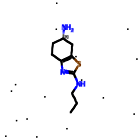 CCCNc1nc2c(s1)C[C@@H](N)CC2